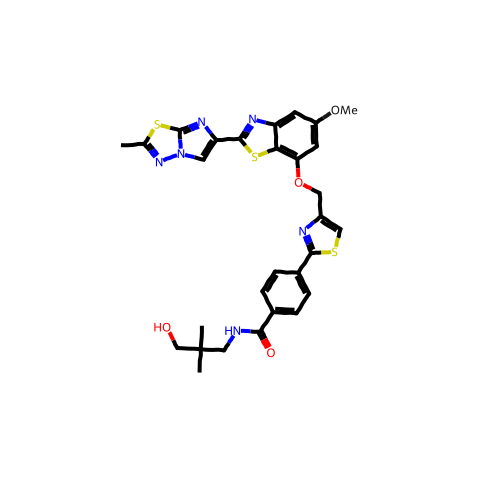 COc1cc(OCc2csc(-c3ccc(C(=O)NCC(C)(C)CO)cc3)n2)c2sc(-c3cn4nc(C)sc4n3)nc2c1